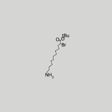 CC(C)(C)OC(=O)C(Br)CCCCCCCCCCCN